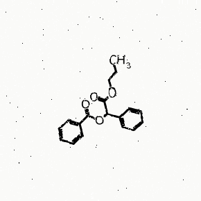 CCCOC(=O)C(OC(=O)c1ccccc1)c1ccccc1